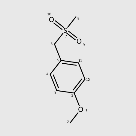 COc1ccc(CS(C)(=O)=O)cc1